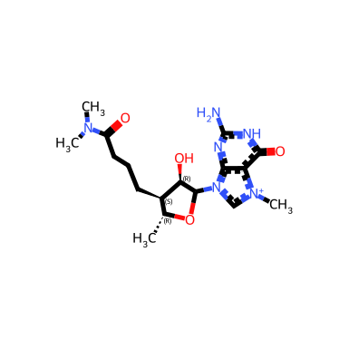 C[C@H]1OC(n2c[n+](C)c3c(=O)[nH]c(N)nc32)[C@H](O)[C@@H]1CCCC(=O)N(C)C